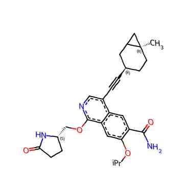 CC(C)Oc1cc2c(OC[C@@H]3CCC(=O)N3)ncc(C#C[C@@H]3CC[C@]4(C)CC4C3)c2cc1C(N)=O